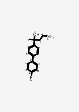 CC(O)(CCN)c1ccc(-c2ccc(F)cc2)cc1